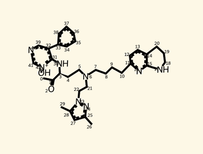 CC(=O)[C@H](CCN(CCCCc1ccc2c(n1)NCCC2)CCn1nc(C)cc1C)Nc1c(-c2ccccc2)cnc[n+]1O